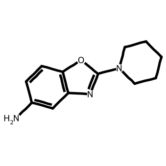 Nc1ccc2oc(N3CCCCC3)nc2c1